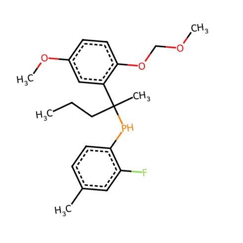 CCCC(C)(Pc1ccc(C)cc1F)c1cc(OC)ccc1OCOC